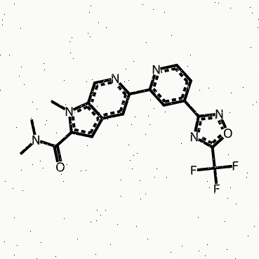 CN(C)C(=O)c1cc2cc(-c3cc(-c4noc(C(F)(F)F)n4)ccn3)ncc2n1C